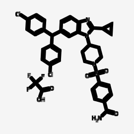 NC(=O)c1ccc(S(=O)(=O)N2CCC(n3c(C4CC4)nc4ccc(C(c5ccc(Cl)cc5)c5ccc(Cl)cc5)cc43)CC2)cc1.O=C(O)C(F)(F)F